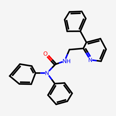 O=C(NCc1ncccc1-c1ccccc1)N(c1ccccc1)c1ccccc1